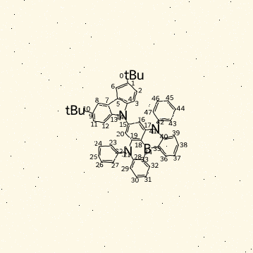 CC(C)(C)c1ccc2c(c1)c1cc(C(C)(C)C)ccc1n2-c1cc2c3c(c1)N(c1ccccc1)c1ccccc1B3c1ccccc1N2c1ccccc1